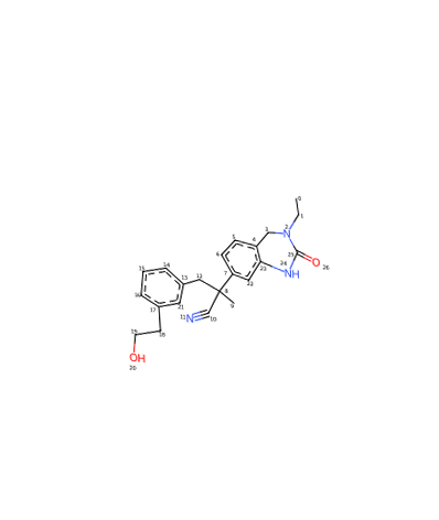 CCN1Cc2ccc(C(C)(C#N)Cc3cccc(CCO)c3)cc2NC1=O